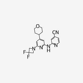 N#Cc1ccnc(Nc2cc(C3CCOCC3)cc(N3CC(F)(F)C3)n2)c1